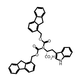 O=C(O)[C@@H](Cc1c[nH]c2ccccc12)N(C(=O)OCc1cccc2c1Cc1ccccc1-2)C(=O)OCc1cccc2c1Cc1ccccc1-2